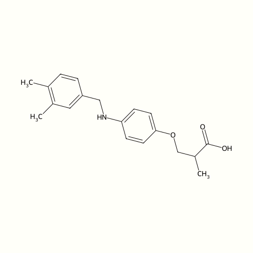 Cc1ccc(CNc2ccc(OCC(C)C(=O)O)cc2)cc1C